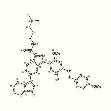 COc1ccc(COc2cc(OC)c(-n3nc(C(=O)NCCCN(C)C)c4cnc(-c5cnn6cccnc56)cc43)cc2F)cc1